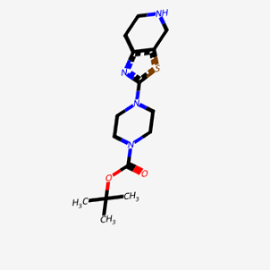 CC(C)(C)OC(=O)N1CCN(c2nc3c(s2)CNCC3)CC1